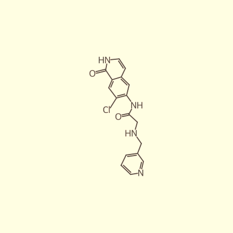 O=C(CNCc1cccnc1)Nc1cc2cc[nH]c(=O)c2cc1Cl